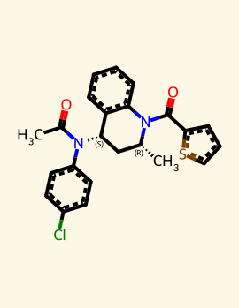 CC(=O)N(c1ccc(Cl)cc1)[C@H]1C[C@@H](C)N(C(=O)c2cccs2)c2ccccc21